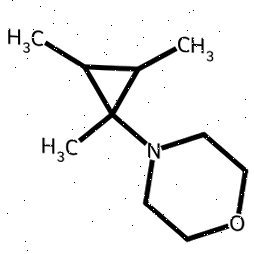 CC1C(C)C1(C)N1CCOCC1